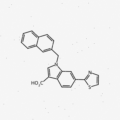 O=C(O)c1cn(Cc2ccc3ccccc3c2)c2cc(-c3nccs3)ccc12